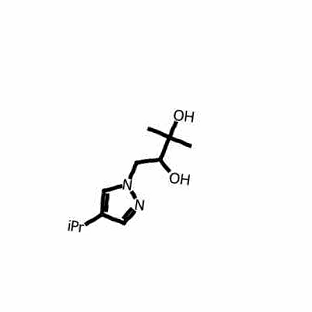 CC(C)c1cnn(CC(O)C(C)(C)O)c1